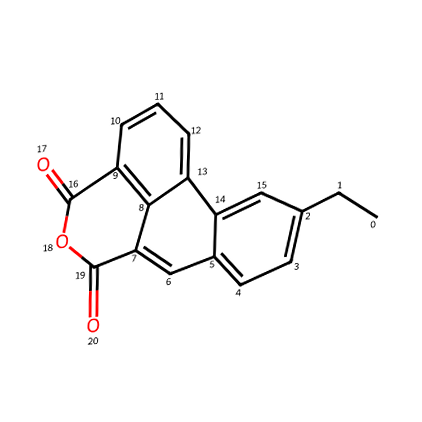 CCc1ccc2cc3c4c(cccc4c2c1)C(=O)OC3=O